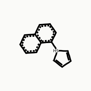 [C]1=CC=C[SH]1c1cccc2ccccc12